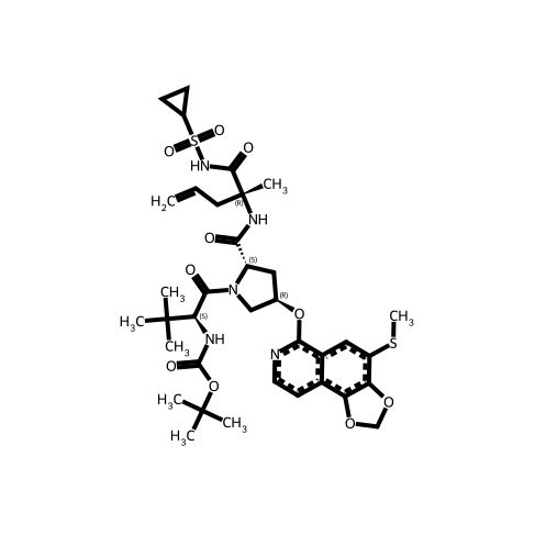 C=CC[C@@](C)(NC(=O)[C@@H]1C[C@@H](Oc2nccc3c4c(c(SC)cc23)OCO4)CN1C(=O)[C@@H](NC(=O)OC(C)(C)C)C(C)(C)C)C(=O)NS(=O)(=O)C1CC1